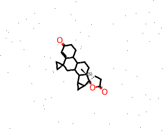 C[C@]12CCC3C4CCC(=O)C=C4C4(CC4)CC3C1C1CC1[C@@]21CCC(=O)O1